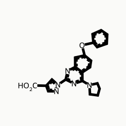 O=C(O)c1cnn(-c2nc(N3CCCC3)c3ccc(Oc4ccccc4)cc3n2)c1